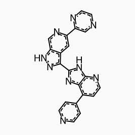 c1cc(-c2ccnc3[nH]c(-c4n[nH]c5cnc(-c6cnccn6)cc45)nc23)ccn1